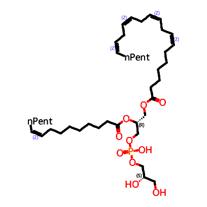 CCCCC/C=C\C/C=C\C/C=C\C/C=C\CCCCCC(=O)OC[C@H](COP(=O)(O)OC[C@@H](O)CO)OC(=O)CCCCCCC/C=C\CCCCC